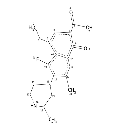 CCn1cc(C(=O)O)c(=O)c2cc(C)c(N3CCNC(C)C3)c(F)c21